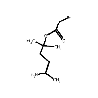 CC(N)CCC(C)(C)OC(=O)CBr